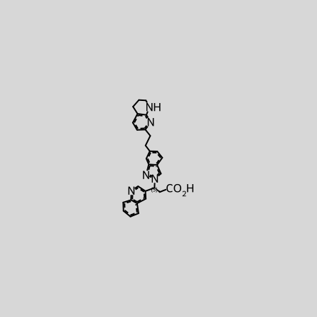 O=C(O)C[C@@H](c1cnc2ccccc2c1)n1cc2ccc(CCc3ccc4c(n3)NCCC4)cc2n1